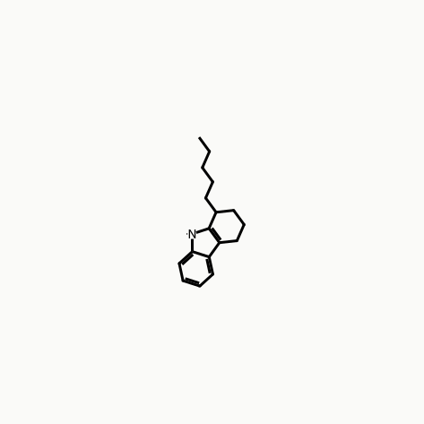 CCCCCC1CCCC2=C1[N]c1ccccc12